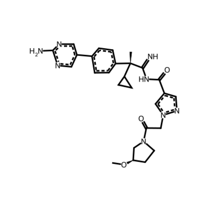 CO[C@@H]1CCN(C(=O)Cn2cc(C(=O)NC(=N)[C@@](C)(c3ccc(-c4cnc(N)nc4)cc3)C3CC3)cn2)C1